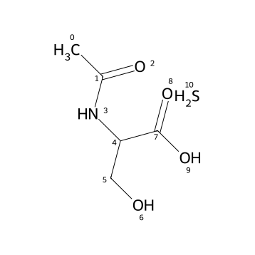 CC(=O)NC(CO)C(=O)O.S